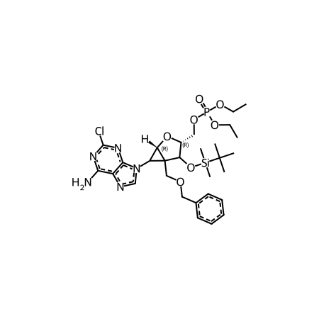 CCOP(=O)(OCC)OC[C@H]1O[C@H]2C(n3cnc4c(N)nc(Cl)nc43)C2(COCc2ccccc2)C1O[Si](C)(C)C(C)(C)C